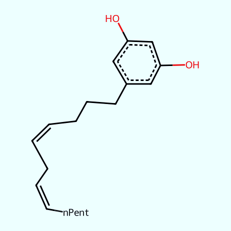 CCCCC/C=C\C/C=C\CCCc1cc(O)cc(O)c1